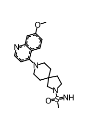 COc1ccc2c(N3CCC4(CC3)CCN(S(C)(=N)=O)C4)ccnc2c1